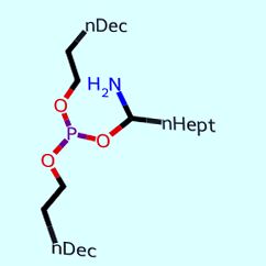 CCCCCCCCCCCCOP(OCCCCCCCCCCCC)OC(N)CCCCCCC